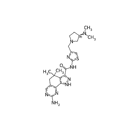 CN(C)[C@@H]1CCN(Cc2csc(NC(=O)c3n[nH]c4c3C(C)(C)Cc3cnc(N)nc3-4)n2)C1